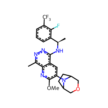 COc1nc2c(C)nnc(N[C@H](C)c3cccc(C(F)(F)F)c3F)c2cc1N1C2CCC1COC2